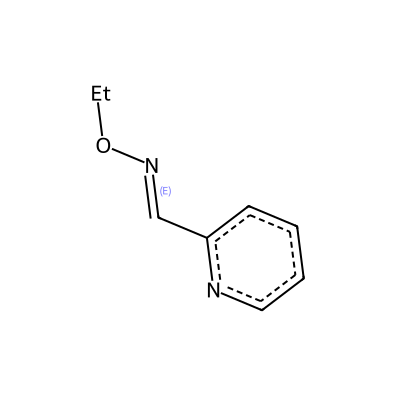 CCO/N=C/c1ccccn1